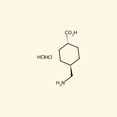 Cl.Cl.NC[C@H]1CC[C@H](C(=O)O)CC1